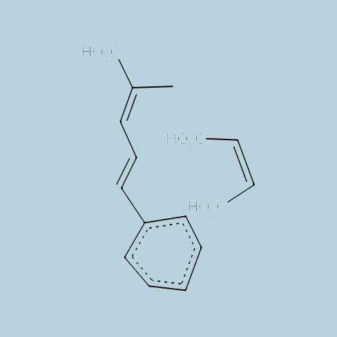 CC(=CC=Cc1ccccc1)C(=O)O.O=C(O)/C=C\C(=O)O